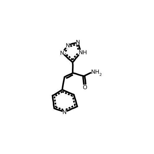 NC(=O)C(=Cc1ccncc1)c1nnn[nH]1